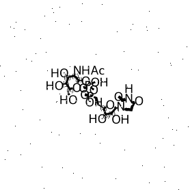 CC(=O)N[C@@H]1[C@@H](OP(=O)(O)OP(=O)(O)CC[C@H]2OC(n3ccc(=O)[nH]c3=O)[C@H](O)[C@@H]2O)O[C@H](CO)[C@@H](O)[C@@H]1O